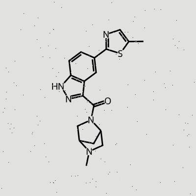 Cc1cnc(-c2ccc3[nH]nc(C(=O)N4CC5CC4CN5C)c3c2)s1